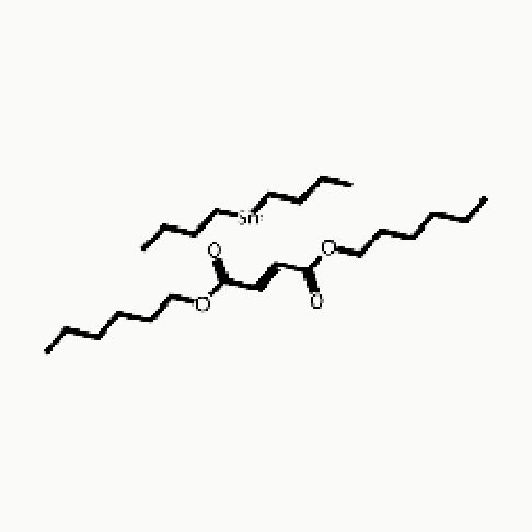 CCCCCCOC(=O)C=CC(=O)OCCCCCC.CCC[CH2][Sn][CH2]CCC